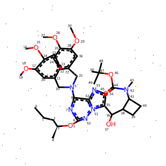 CCC[C@H](C)Oc1nc(N(Cc2ccc(OC)c(OC)c2)Cc2ccc(OC)c(OC)c2)c2ncc(C(O)C3CCC3N(C)C(=O)OC(C)(C)C)n2n1